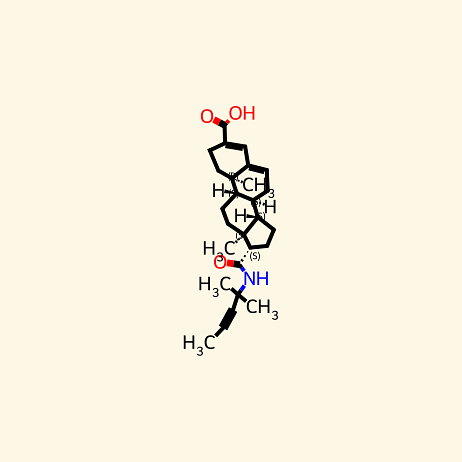 CC#CC(C)(C)NC(=O)[C@H]1CC[C@H]2[C@@H]3CC=C4C=C(C(=O)O)CC[C@]4(C)[C@H]3CC[C@]12C